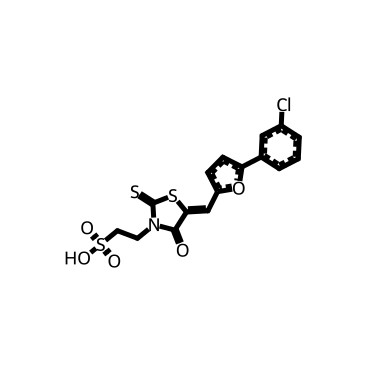 O=C1C(=Cc2ccc(-c3cccc(Cl)c3)o2)SC(=S)N1CCS(=O)(=O)O